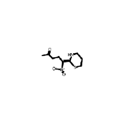 CC(=O)CCC(=C1NCCCS1)[N+](=O)[O-]